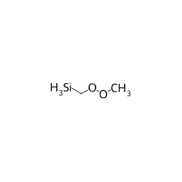 COOC[SiH3]